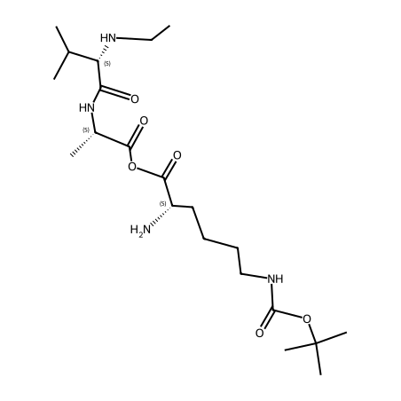 CCN[C@H](C(=O)N[C@@H](C)C(=O)OC(=O)[C@@H](N)CCCCNC(=O)OC(C)(C)C)C(C)C